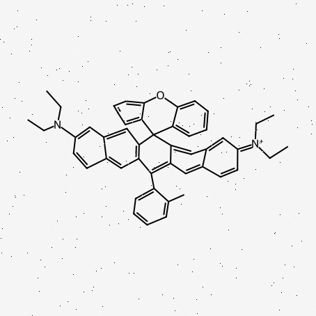 CCN(CC)c1ccc2cc3c(cc2c1)C1(c2ccccc2Oc2ccccc21)c1cc2c(cc1=C3c1ccccc1C)C=CC(=[N+](CC)CC)C=2